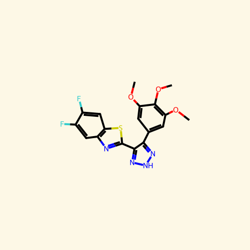 COc1cc(-c2n[nH]nc2-c2nc3cc(F)c(F)cc3s2)cc(OC)c1OC